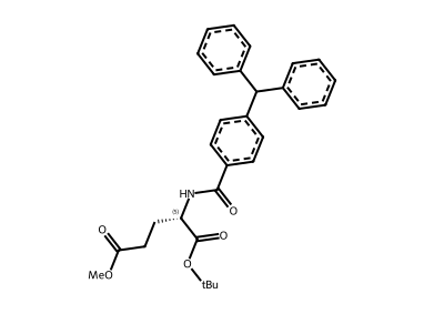 COC(=O)CC[C@H](NC(=O)c1ccc(C(c2ccccc2)c2ccccc2)cc1)C(=O)OC(C)(C)C